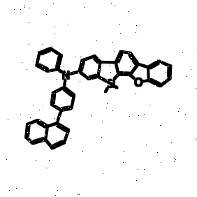 C[Si]1(C)c2cc(N(c3ccccc3)c3ccc(-c4cccc5ccccc45)cc3)ccc2-c2ccc3c(oc4ccccc43)c21